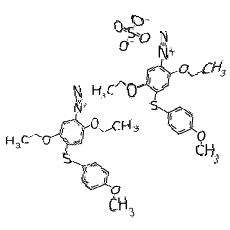 CCOc1cc(Sc2ccc(OC)cc2)c(OCC)cc1[N+]#N.CCOc1cc(Sc2ccc(OC)cc2)c(OCC)cc1[N+]#N.O=S(=O)([O-])[O-]